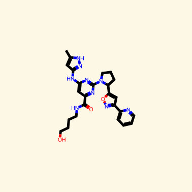 Cc1cc(Nc2cc(C(=O)NCCCCO)nc(N3CCCC3c3cc(-c4ccccn4)no3)n2)n[nH]1